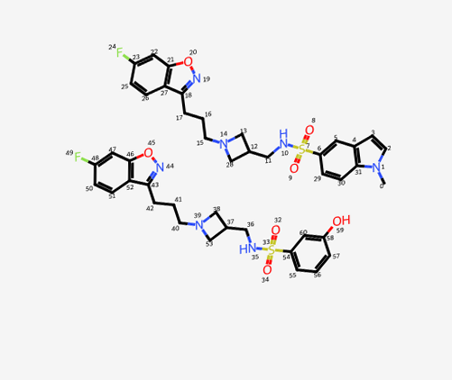 Cn1ccc2cc(S(=O)(=O)NCC3CN(CCCc4noc5cc(F)ccc45)C3)ccc21.O=S(=O)(NCC1CN(CCCc2noc3cc(F)ccc23)C1)c1cccc(O)c1